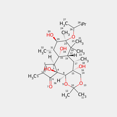 CC1=C[C@@H]2[C@@](O)(C1=O)[C@@H]1OC(C)(C)OC[C@]1(O)[C@@H](C)[C@H]1C(C)(C)[C@](C)(OC(C)C(C)C)[C@H](O)[C@@H](C)[C@]21O